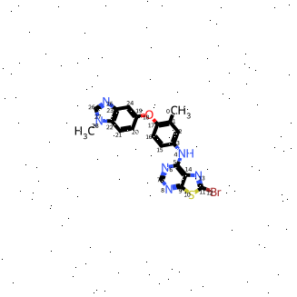 Cc1cc(Nc2ncnc3sc(Br)nc23)ccc1Oc1ccc2c(c1)ncn2C